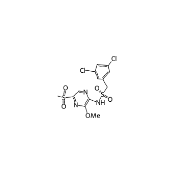 COc1nc(S(C)(=O)=O)cnc1NS(=O)(=O)Cc1cc(Cl)cc(Cl)c1